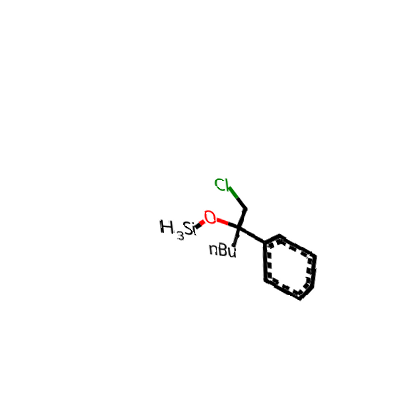 CCCCC(CCl)(O[SiH3])c1ccccc1